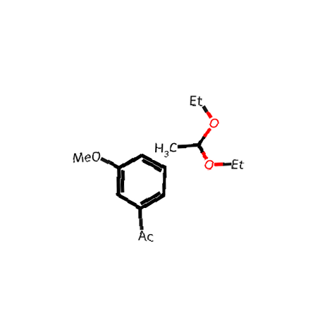 CCOC(C)OCC.COc1cccc(C(C)=O)c1